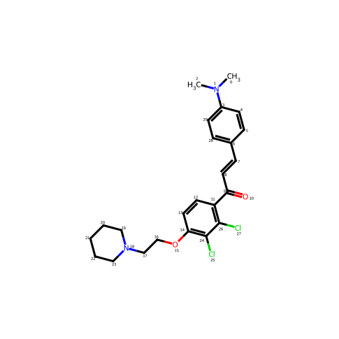 CN(C)c1ccc(/C=C/C(=O)c2ccc(OCCN3CCCCC3)c(Cl)c2Cl)cc1